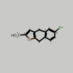 O=C(O)c1cc2c(s1)Cc1ccc(F)cc1C2